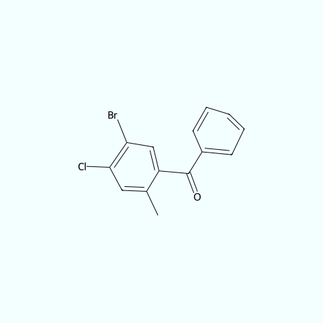 Cc1cc(Cl)c(Br)cc1C(=O)c1ccccc1